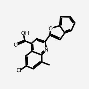 Cc1cc(Cl)cc2c(C(=O)O)cc(-c3cc4ccccc4o3)nc12